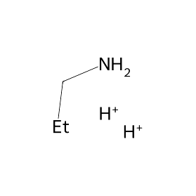 CCCN.[H+].[H+]